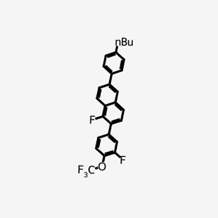 CCCCc1ccc(-c2ccc3c(F)c(-c4ccc(OC(F)(F)F)c(F)c4)ccc3c2)cc1